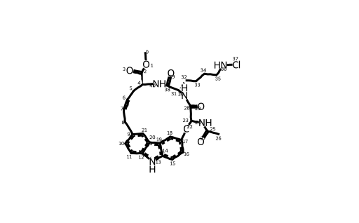 COC(=O)[C@@H]1CC=CCc2ccc3[nH]c4ccc(cc4c3c2)CC(NC(C)=O)C(=O)N[C@@H](CCCCNCl)C(=O)N1